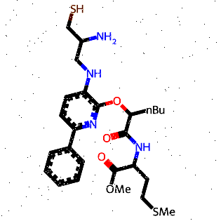 CCCCC(Oc1nc(-c2ccccc2)ccc1NCC(N)CS)C(=O)NC(CCSC)C(=O)OC